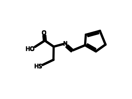 O=C(O)C(CS)N=CC1=CCC=C1